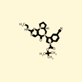 CCNc1ncc2c(n1)N1CCC[C@H]1CN(c1cn(C(=O)OC(C)(C)C)c3ccc(C#N)cc13)C2=O